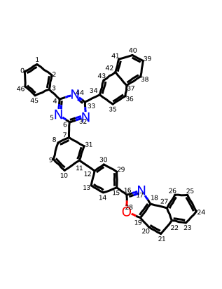 c1ccc(-c2nc(-c3cccc(-c4ccc(-c5nc6c(ccc7ccccc76)o5)cc4)c3)nc(-c3ccc4ccccc4c3)n2)cc1